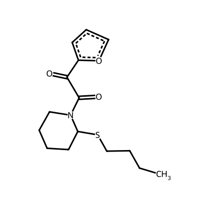 CCCCSC1CCCCN1C(=O)C(=O)c1ccco1